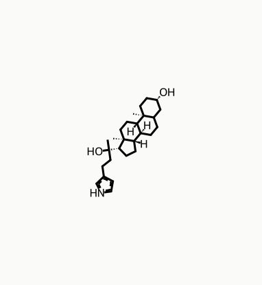 CC(O)(CCc1cc[nH]c1)[C@H]1CC[C@H]2[C@@H]3CCC4C[C@@H](O)CC[C@]4(C)[C@H]3CC[C@]12C